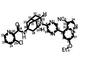 CCOc1cc(-c2cnc(N3[C@@H]4CC5C[C@H]3CC(NC(=O)c3ncccc3Cl)(C5)C4)cn2)c2c(C#N)cnn2c1